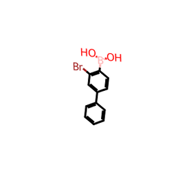 OB(O)c1ccc(-c2ccccc2)cc1Br